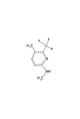 CNc1ccc(C)c(C(F)(F)F)n1